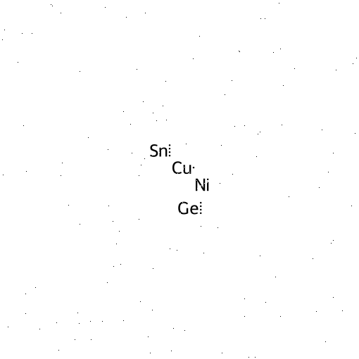 [Cu].[Ge].[Ni].[Sn]